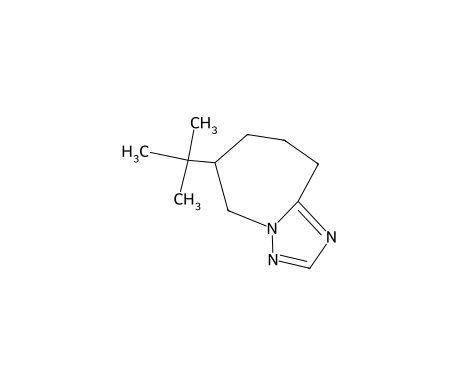 CC(C)(C)C1CCCc2ncnn2C1